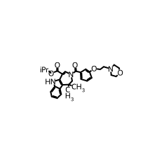 CC(C)OC(=O)C1=CN(C(=O)c2cccc(OCCN3CCOCC3)c2)CC(C)(C)c2c1[nH]c1ccccc21